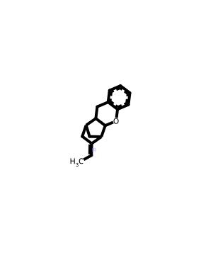 C/C=C1\CC2CC1C1Oc3ccccc3CC21